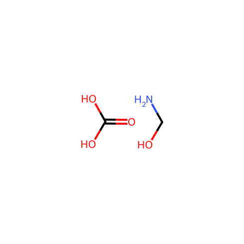 NCO.O=C(O)O